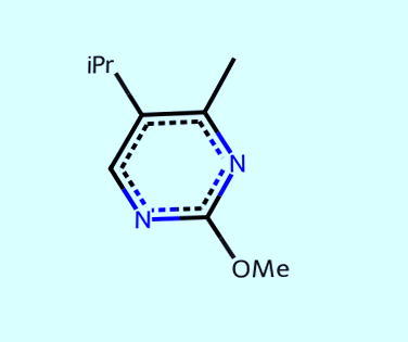 COc1ncc(C(C)C)c(C)n1